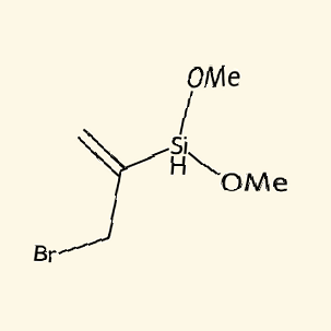 C=C(CBr)[SiH](OC)OC